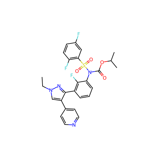 CCn1cc(-c2ccncc2)c(-c2cccc(N(C(=O)OC(C)C)S(=O)(=O)c3cc(F)ccc3F)c2F)n1